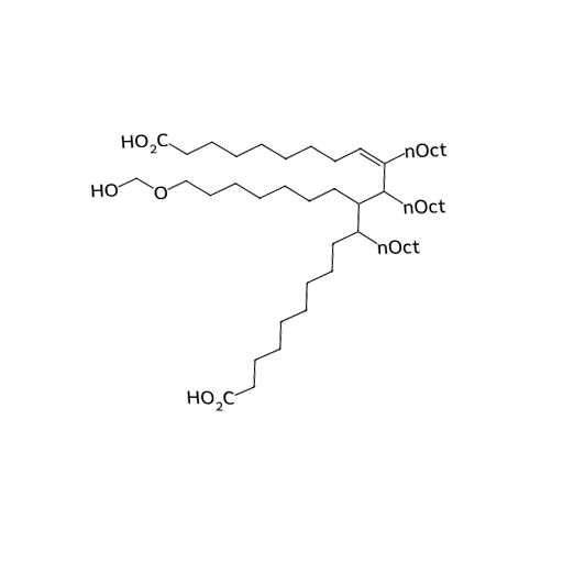 CCCCCCCC/C(=C/CCCCCCCC(=O)O)C(CCCCCCCC)C(CCCCCCCOCO)C(CCCCCCCC)CCCCCCCCC(=O)O